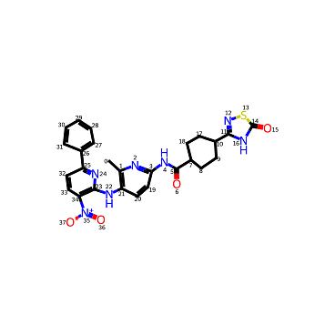 Cc1nc(NC(=O)C2CCC(c3nsc(=O)[nH]3)CC2)ccc1Nc1nc(-c2ccccc2)ccc1[N+](=O)[O-]